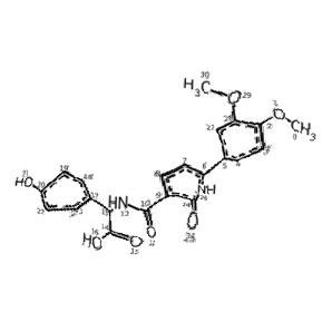 COc1ccc(-c2ccc(C(=O)NC(C(=O)O)c3ccc(O)cc3)c(=O)[nH]2)cc1OC